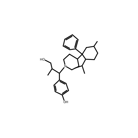 CC1CCC(C(C)C)C(c2ccccc2)(C2CCN(C(c3ccc(O)cc3)C(C)CO)CC2)C1